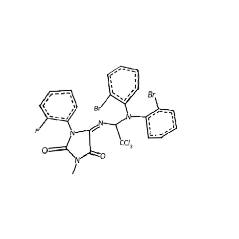 CN1C(=O)C(=NC(N(c2ccccc2Br)c2ccccc2Br)C(Cl)(Cl)Cl)N(c2ccccc2F)C1=O